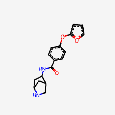 O=C(NC1CC2CC1CN2)c1ccc(Oc2ccco2)cc1